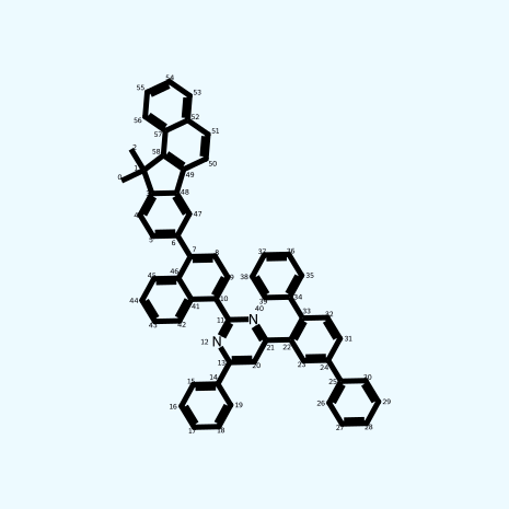 CC1(C)c2ccc(-c3ccc(-c4nc(-c5ccccc5)cc(-c5cc(-c6ccccc6)ccc5-c5ccccc5)n4)c4ccccc34)cc2-c2ccc3ccccc3c21